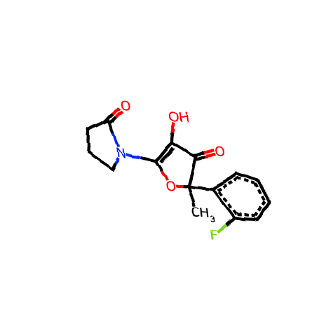 CC1(c2ccccc2F)OC(N2CCCC2=O)=C(O)C1=O